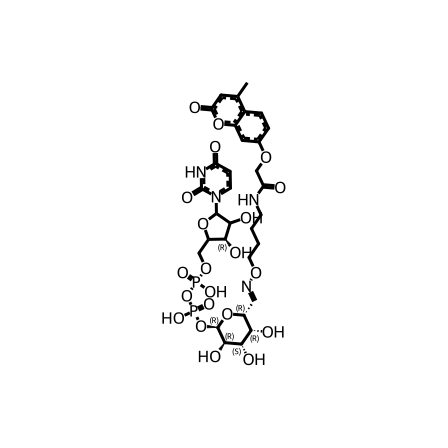 Cc1cc(=O)oc2cc(OCC(=O)NCCCCON=C[C@H]3O[C@H](OP(=O)(O)OP(=O)(O)OCC4OC(n5ccc(=O)[nH]c5=O)C(O)[C@H]4O)[C@H](O)[C@@H](O)[C@H]3O)ccc12